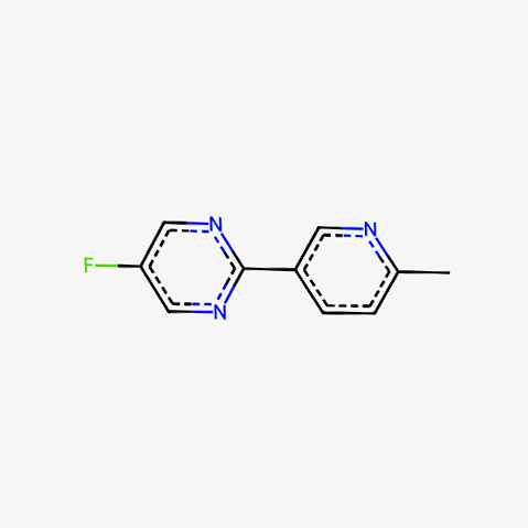 Cc1ccc(-c2ncc(F)cn2)cn1